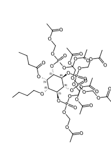 CCCCO[C@@H]1[C@H](OC(=O)CCC)[C@H](OP(=O)(OCOC(C)=O)OCOC(C)=O)[C@@H](OP(=O)(OCOC(C)=O)OCOC(C)=O)[C@H](OP(=O)(OCOC(C)=O)OCOC(C)=O)[C@H]1OP(=O)(OCOC(C)=O)OCOC(C)=O